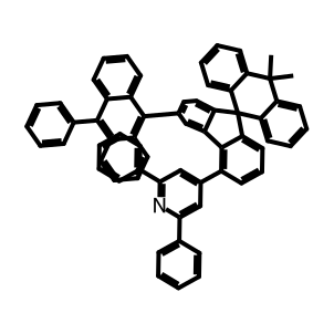 CC1(C)c2ccccc2C2(c3ccc(-c4c5ccccc5c(-c5ccccc5)c5ccccc45)cc3-c3c(-c4cc(-c5ccccc5)nc(-c5ccccc5)c4)cccc32)c2ccccc21